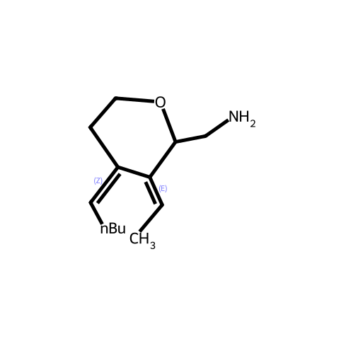 C/C=C1\C(=C/CCCC)CCOC1CN